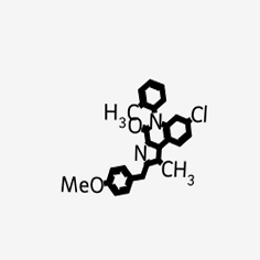 COc1ccc(CC2=NC3C(=O)N(C4CC=CC=C4C)C4=C(C=CC(Cl)C4)C3C2C)cc1